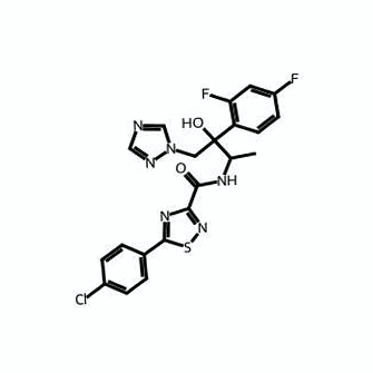 CC(NC(=O)c1nsc(-c2ccc(Cl)cc2)n1)C(O)(Cn1cncn1)c1ccc(F)cc1F